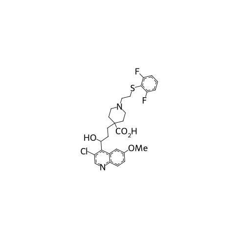 COc1ccc2ncc(Cl)c(C(O)CCC3(C(=O)O)CCN(CCSc4c(F)cccc4F)CC3)c2c1